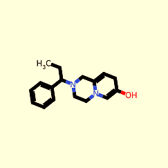 CCC(c1ccccc1)N1CCN2C=C(O)CC=C2C1